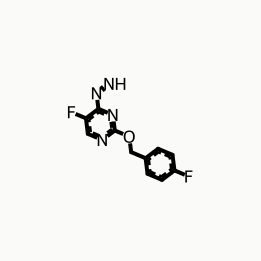 N=Nc1nc(OCc2ccc(F)cc2)ncc1F